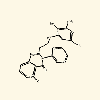 N#Cc1c(N)nc(N)nc1NCCc1nc2cccc(Cl)c2c(=O)n1-c1ccccc1